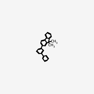 CC1(C)c2ccccc2-c2ccc(-c3cccc(-c4ccccc4)c3)cc21